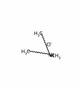 CCCCCCCC=CCCCCCCCCC(CCCCCCCCCCCCCCCCCC)[n+]1ccn(C)c1.[Cl-]